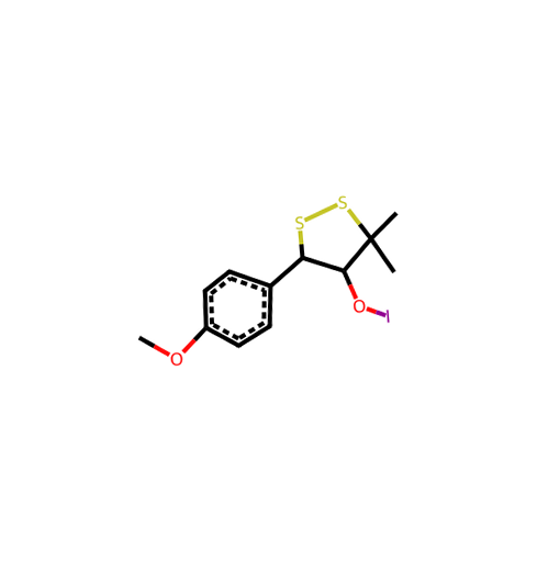 COc1ccc(C2SSC(C)(C)C2OI)cc1